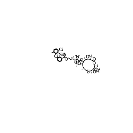 Cc1ccc(Cl)c(Nc2ccccc2C(=O)OCCN(C)[C@@H]2C[C@@H](C)O[C@@H](O[C@@H]3[C@@H](C)[C@H](O)[C@@H](C)C(=O)O[C@H](I)[C@@](C)(O)[C@H](O)[C@@H](C)N(C)C[C@H](C)C[C@@]3(C)O)[C@H]2N(C)C)c1Cl